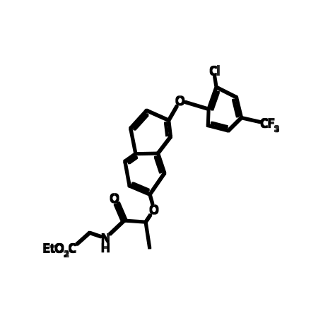 CCOC(=O)CNC(=O)C(C)Oc1ccc2ccc(Oc3ccc(C(F)(F)F)cc3Cl)cc2c1